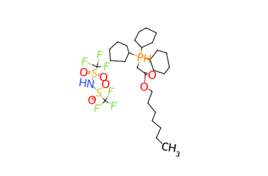 CCCCCCCOC(=O)C[PH](C1CCCCC1)(C1CCCCC1)C1CCCCC1.O=S(=O)(NS(=O)(=O)C(F)(F)F)C(F)(F)F